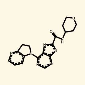 O=C(NC1CCOCC1)c1nc2c(N3CCc4ncccc43)ncnc2s1